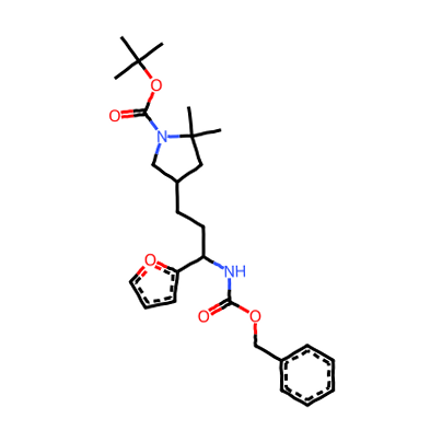 CC(C)(C)OC(=O)N1CC(CCC(NC(=O)OCc2ccccc2)c2ccco2)CC1(C)C